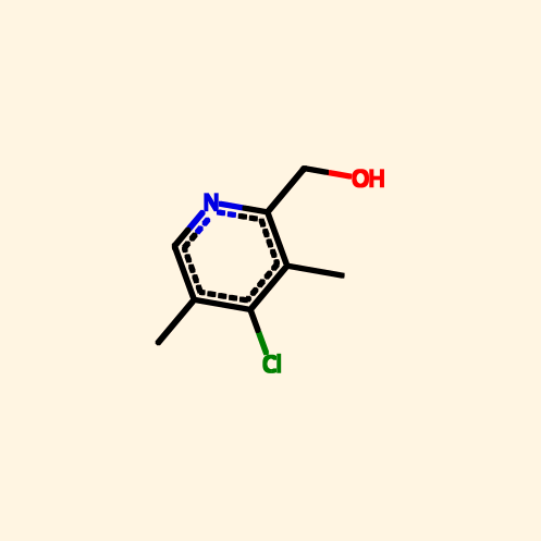 Cc1cnc(CO)c(C)c1Cl